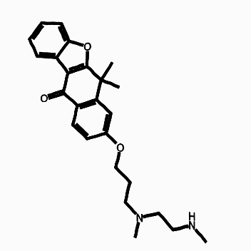 CNCCN(C)CCCOc1ccc2c(c1)C(C)(C)c1oc3ccccc3c1C2=O